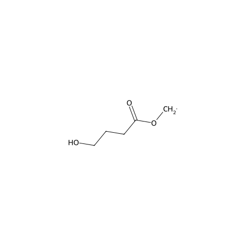 [CH2]OC(=O)CCCO